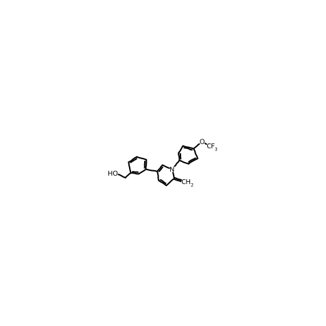 C=C1C=CC(c2cccc(CO)c2)=CN1c1ccc(OC(F)(F)F)cc1